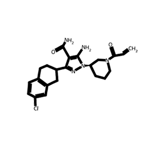 C=CC(=O)N1CCC[C@@H](n2nc(C3CCc4ccc(Cl)cc4C3)c(C(N)=O)c2N)C1